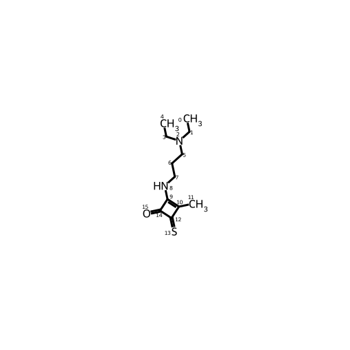 CCN(CC)CCCNc1c(C)c(=S)c1=O